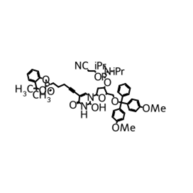 COc1ccc(C(OCC2OC(N3C=C(C#CCCCP4(=O)Oc5ccccc5C(C)(C)O4)C(=O)NC3O)CC2OP(OCCC#N)N(C(C)C)C(C)C)(c2ccccc2)c2ccc(OC)cc2)cc1